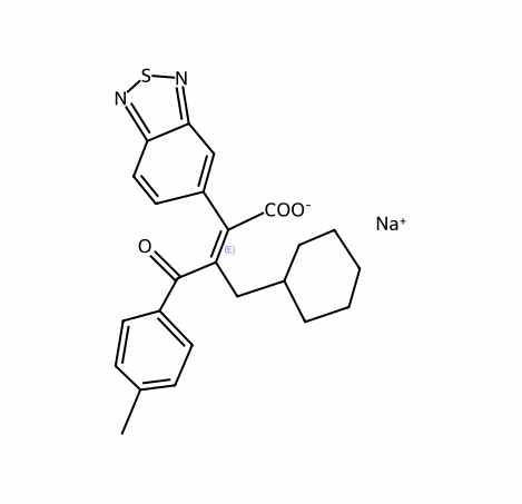 Cc1ccc(C(=O)/C(CC2CCCCC2)=C(/C(=O)[O-])c2ccc3nsnc3c2)cc1.[Na+]